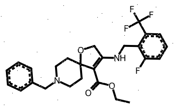 CCOC(=O)C1=C(NCc2c(F)cccc2C(F)(F)F)COC12CCN(Cc1ccccc1)CC2